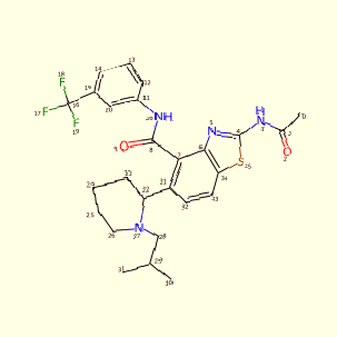 CC(=O)Nc1nc2c(C(=O)Nc3[c]ccc(C(F)(F)F)c3)c(C3CCCCN3CC(C)C)ccc2s1